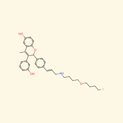 CC1=C(c2cccc(O)c2)C(c2ccc(/C=C/CNCCCCOCCCCF)cc2)Oc2ccc(O)cc21